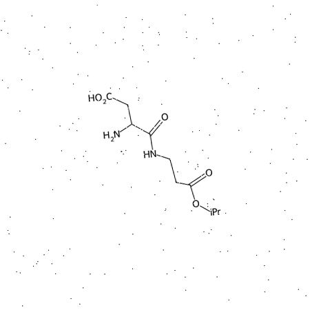 CC(C)OC(=O)CCNC(=O)C(N)CC(=O)O